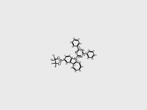 CC1(C)OB(c2ccc3c(c2)c2c(n3-c3nc(-c4ccccc4)nc(-c4ccccc4)n3)C=C=CC=C2)OC1(C)C